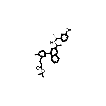 COc1cccc([C@@H](C)NC(C)c2cc(-c3ccc(C)c(CCC(=O)OC(C)C)c3)c3ccccc3c2)c1